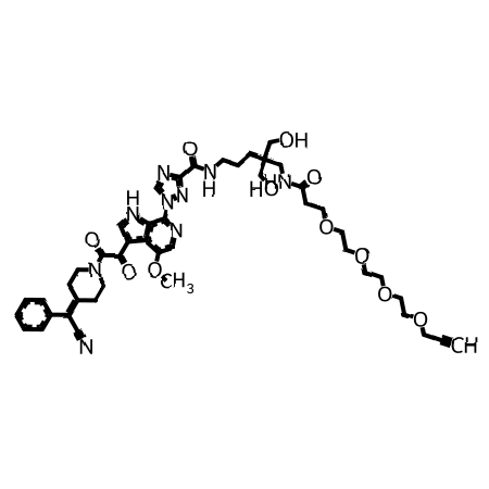 C#CCOCCOCCOCCOCCC(=O)NCC(CO)(CO)CCCNC(=O)c1ncn(-c2ncc(OC)c3c(C(=O)C(=O)N4CCC(=C(C#N)c5ccccc5)CC4)c[nH]c23)n1